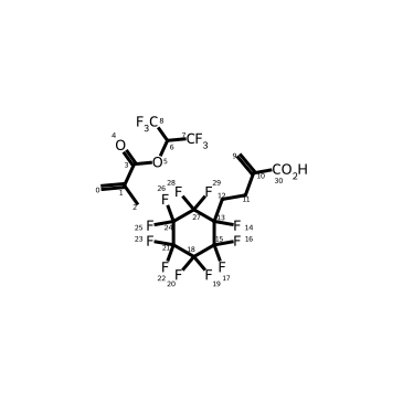 C=C(C)C(=O)OC(C(F)(F)F)C(F)(F)F.C=C(CCC1(F)C(F)(F)C(F)(F)C(F)(F)C(F)(F)C1(F)F)C(=O)O